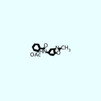 CC(=O)Oc1ccccc1C(=O)Nc1ccc2oc(C)nc2c1